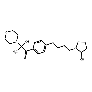 CC1CCCN1CCCOc1ccc(C(=O)C(C)(C)N2CCOCC2)cc1